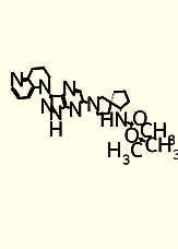 CC(C)(C)OC(=O)N[C@H]1CCC[C@@]12CCN(c1cnc3c(N4CCCc5ncccc54)n[nH]c3n1)C2